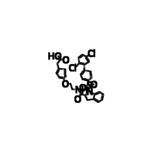 O=C(O)Cc1ccc(OCCNC(=O)[C@@H]2Cc3ccccc3N2S(=O)(=O)c2ccc(-c3cc(Cl)ccc3Cl)cc2)cc1